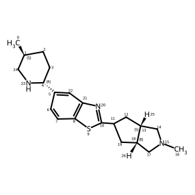 C[C@H]1CC[C@H](c2ccc3sc(C4C[C@@H]5CN(C)C[C@@H]5C4)nc3c2)NC1